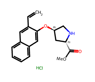 C=Cc1cc2ccccc2cc1O[C@H]1CN[C@H](C(=O)OC)C1.Cl